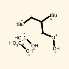 CC(C)(C)CC(COO)C(C)(C)C.O=C(O)O.O=C(O)O